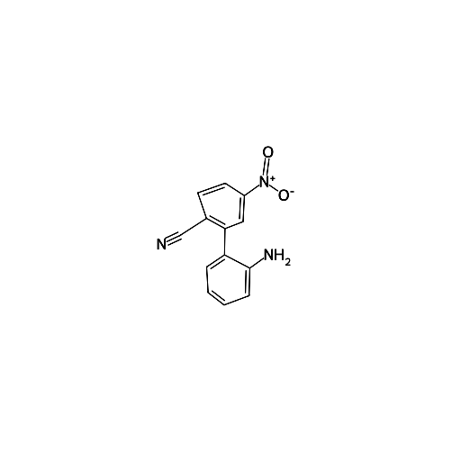 N#Cc1ccc([N+](=O)[O-])cc1-c1ccccc1N